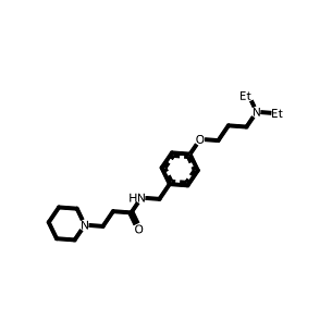 CCN(CC)CCCOc1ccc(CNC(=O)CCN2CCCCC2)cc1